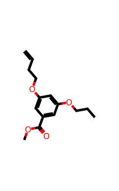 C=CCCOc1cc(OCCC)cc(C(=O)OC)c1